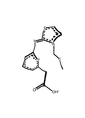 COCn1ccsc1=Nc1cccc(CC(=O)O)n1